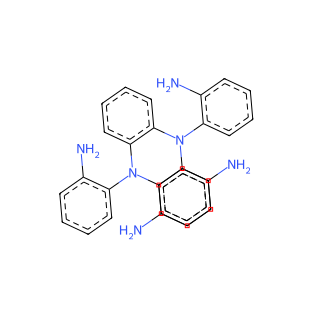 Nc1ccccc1N(c1ccccc1N)c1ccccc1N(c1ccccc1N)c1ccccc1N